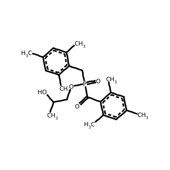 Cc1cc(C)c(CP(=O)(OCC(C)O)C(=O)c2c(C)cc(C)cc2C)c(C)c1